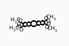 COC(=O)C1=CC2C=C3/C=C\C4=CC5C=C(C(=O)OC)C(C(=O)OC)=CC5C=C4/C=C\C3=CC2C=C1C(=O)OC